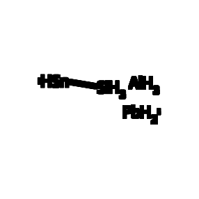 [AlH3].[PbH2].[SiH3][SnH]